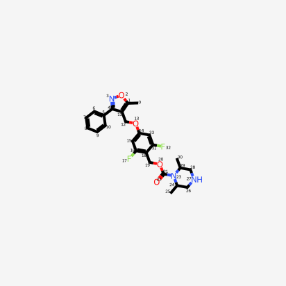 Cc1onc(-c2ccccc2)c1COc1cc(F)c(COC(=O)N2C(C)CNCC2C)c(F)c1